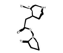 CC[C@H]1CNCCC1CC(=O)ON1CCCC1=O